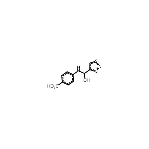 O=C(O)c1ccc(NC(O)c2csnn2)cc1